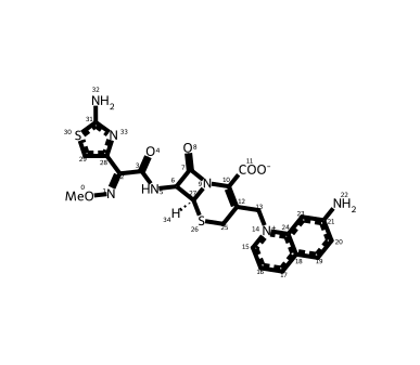 CON=C(C(=O)NC1C(=O)N2C(C(=O)[O-])=C(C[n+]3cccc4ccc(N)cc43)CS[C@@H]12)c1csc(N)n1